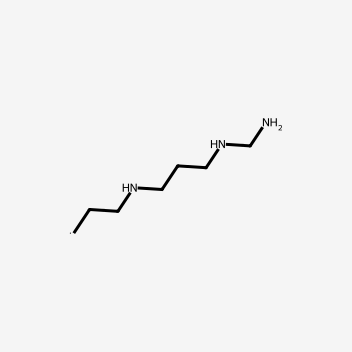 [CH2]CCNCCCNCN